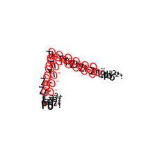 [La+3].[La+3].[La+3].[La+3].[O]=[Ti]([O-])[O-].[O]=[Ti]([O-])[O-].[O]=[Ti]([O-])[O-].[O]=[Ti]([O-])[O-].[O]=[Ti]([O-])[O-].[O]=[Zr]([O-])[O-].[O]=[Zr]([O-])[O-].[O]=[Zr]([O-])[O-].[O]=[Zr]([O-])[O-].[O]=[Zr]([O-])[O-].[Pb+2].[Pb+2].[Pb+2].[Pb+2]